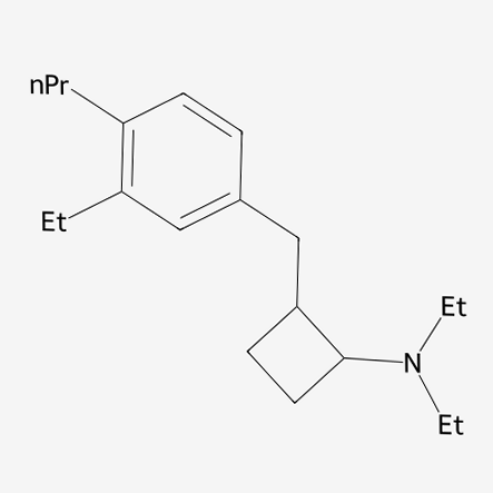 CCCc1ccc(CC2CCC2N(CC)CC)cc1CC